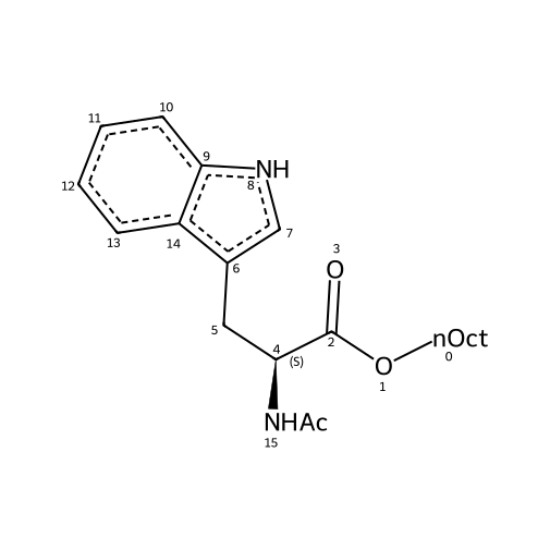 CCCCCCCCOC(=O)[C@H](Cc1c[nH]c2ccccc12)NC(C)=O